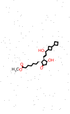 COC(=O)CCCCCC[C@H]1C(=O)C[C@@H](O)[C@@H]1/C=C/[C@H](O)C1CC(C2CCC2)C1